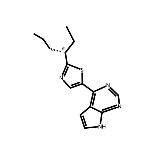 CCC[C@H](CC)c1ncc(-c2ncnc3[nH]ccc23)s1